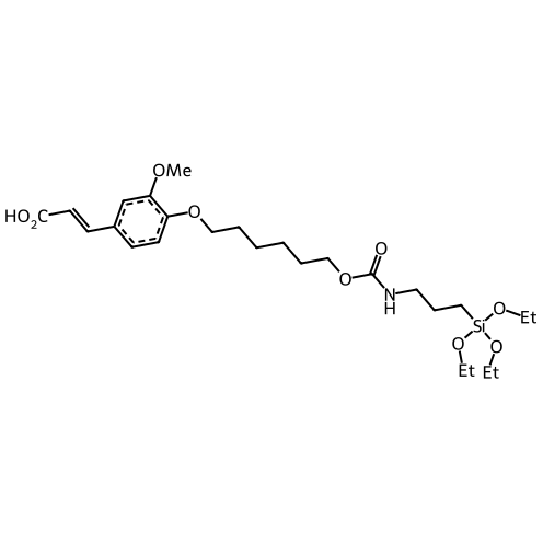 CCO[Si](CCCNC(=O)OCCCCCCOc1ccc(C=CC(=O)O)cc1OC)(OCC)OCC